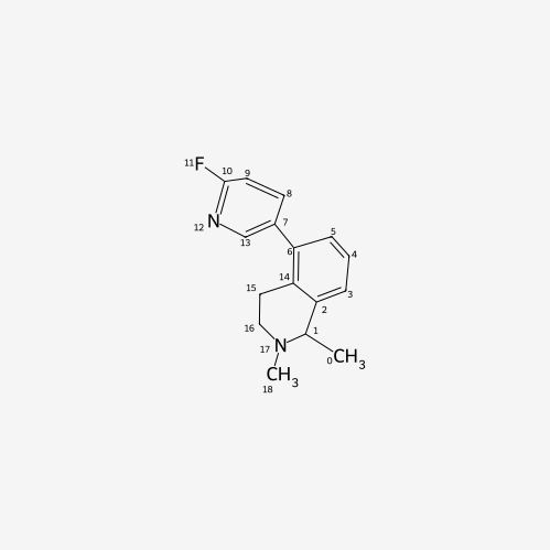 CC1c2cccc(-c3ccc(F)nc3)c2CCN1C